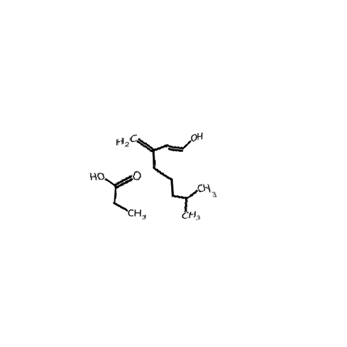 C=C(C=CO)CCCC(C)C.CCC(=O)O